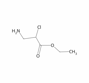 CCOC(=O)C(Cl)CN